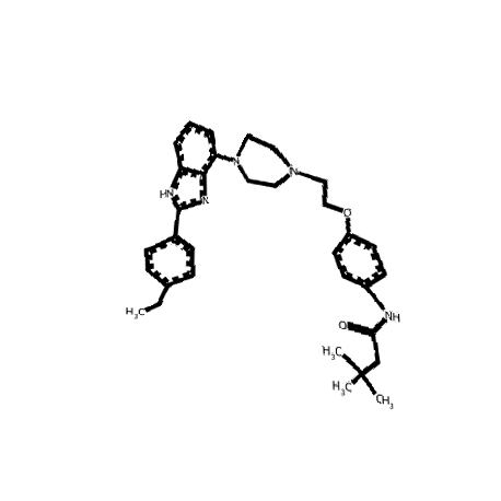 CCc1ccc(-c2nc3c(N4CCN(CCOc5ccc(NC(=O)CC(C)(C)C)cc5)CC4)cccc3[nH]2)cc1